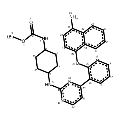 CC(C)(C)OC(=O)NC1CCC(Nc2nccc(-c3cccnc3Oc3ccc(N)c4ccccc34)n2)CC1